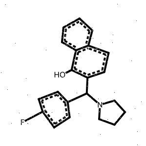 Oc1c(C(c2ccc(F)cc2)N2CCCC2)ccc2ccccc12